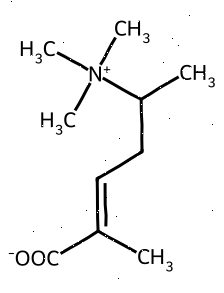 CC(=CCC(C)[N+](C)(C)C)C(=O)[O-]